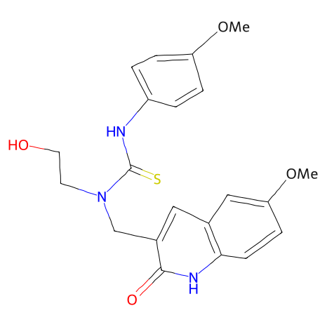 COc1ccc(NC(=S)N(CCO)Cc2cc3cc(OC)ccc3[nH]c2=O)cc1